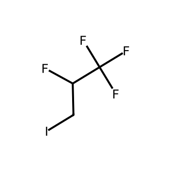 FC(CI)C(F)(F)F